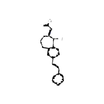 O=C(O)/C=C1\CCCc2cc(/C=C/c3ccccc3)ccc2C1O